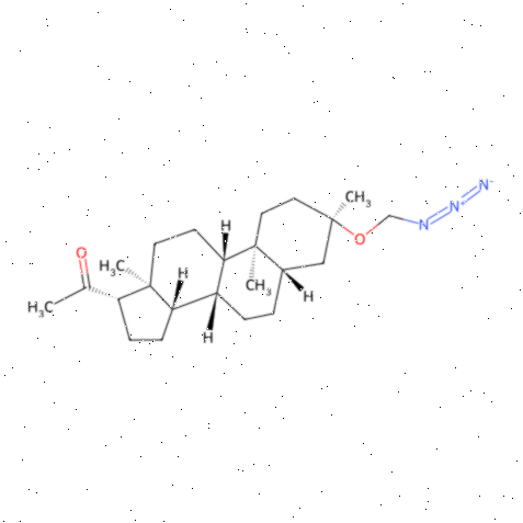 CC(=O)[C@H]1CC[C@H]2[C@H]3CC[C@H]4C[C@](C)(OCN=[N+]=[N-])CC[C@]4(C)[C@H]3CC[C@]12C